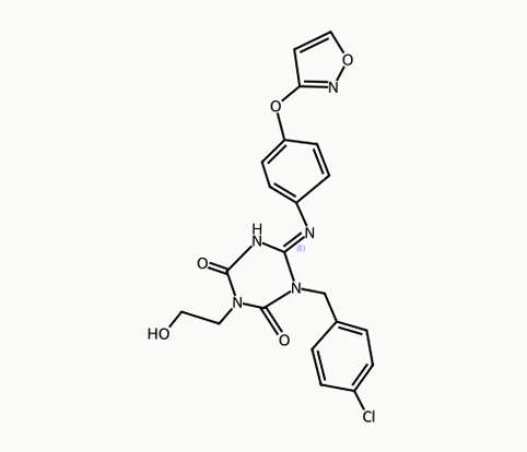 O=c1[nH]/c(=N\c2ccc(Oc3ccon3)cc2)n(Cc2ccc(Cl)cc2)c(=O)n1CCO